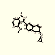 CNc1ncnc2[nH]nc(-c3ccc4cc(OC5CC5)ccc4c3)c12